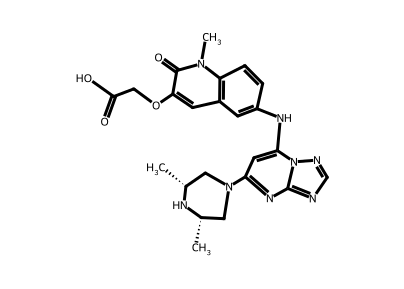 C[C@@H]1CN(c2cc(Nc3ccc4c(c3)cc(OCC(=O)O)c(=O)n4C)n3ncnc3n2)C[C@H](C)N1